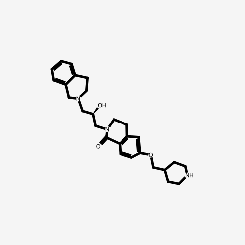 O=C1c2ccc(OCC3CCNCC3)cc2CCN1C[C@H](O)CN1CCc2ccccc2C1